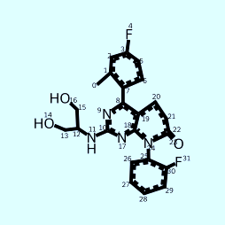 Cc1cc(F)ccc1-c1nc(NC(CO)CO)nc2c1ccc(=O)n2-c1ccccc1F